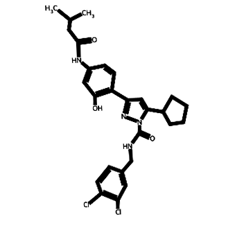 CC(C)CC(=O)Nc1ccc(-c2cc(C3CCCC3)n(C(=O)NCc3ccc(Cl)c(Cl)c3)n2)c(O)c1